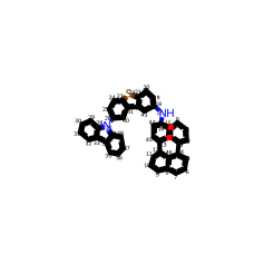 c1ccc(-c2cccc3cccc(-c4ccc(Nc5ccc6sc7ccc(-n8c9ccccc9c9ccccc98)cc7c6c5)cc4)c23)cc1